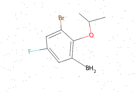 Bc1cc(F)cc(Br)c1OC(C)C